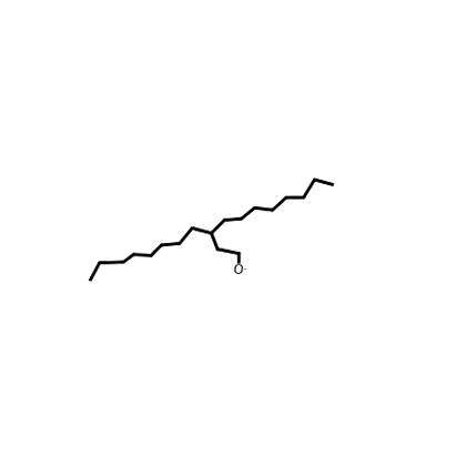 CCCCCCCCC(CC[O])CCCCCCCC